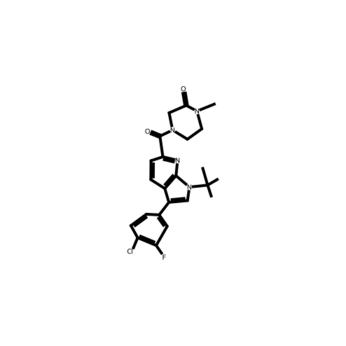 CN1CCN(C(=O)c2ccc3c(-c4ccc(Cl)c(F)c4)cn(C(C)(C)C)c3n2)CC1=O